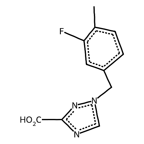 Cc1ccc(Cn2cnc(C(=O)O)n2)cc1F